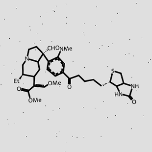 CC[C@H]1CN2CC[C@@](C=O)(c3ccc(C(=O)CCCC[C@@H]4SCC5NC(=O)NC54)cc3NC)C2CC1/C(=C\OC)C(=O)OC